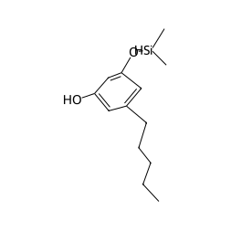 CCCCCc1cc(O)cc(O[SiH](C)C)c1